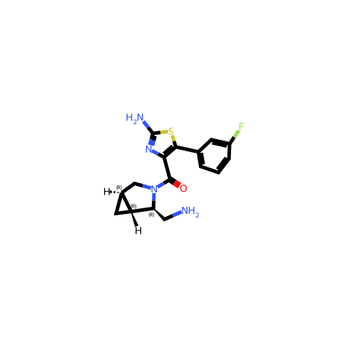 NC[C@H]1[C@@H]2C[C@H]2CN1C(=O)c1nc(N)sc1-c1cccc(F)c1